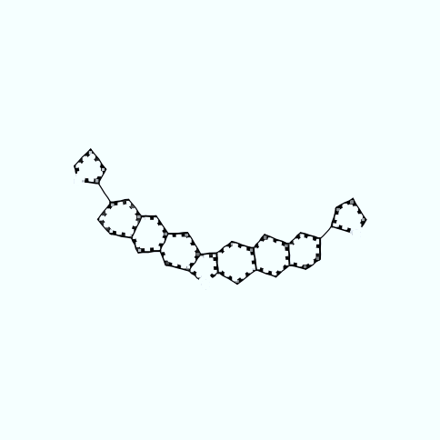 c1coc(-c2ccc3cc4cc5oc6cc7cc8ccc(-c9ccco9)cc8cc7cc6c5cc4cc3c2)c1